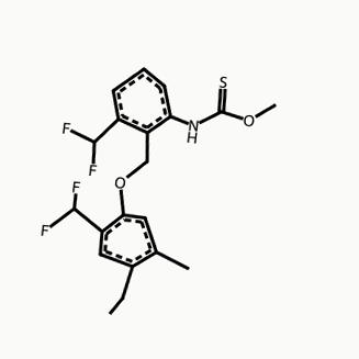 CCc1cc(C(F)F)c(OCc2c(NC(=S)OC)cccc2C(F)F)cc1C